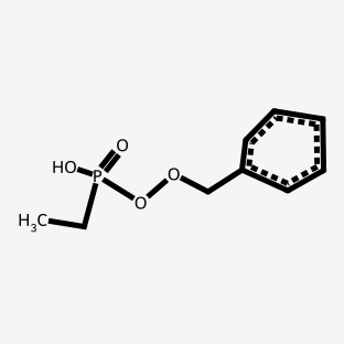 CCP(=O)(O)OOCc1ccccc1